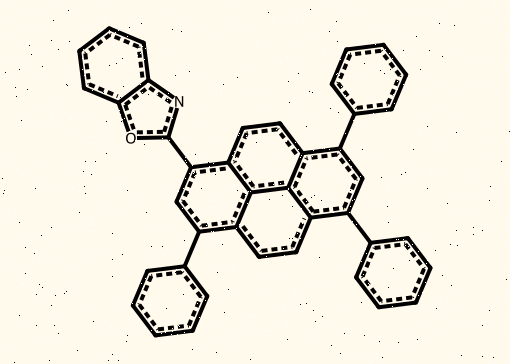 c1ccc(-c2cc(-c3ccccc3)c3ccc4c(-c5nc6ccccc6o5)cc(-c5ccccc5)c5ccc2c3c54)cc1